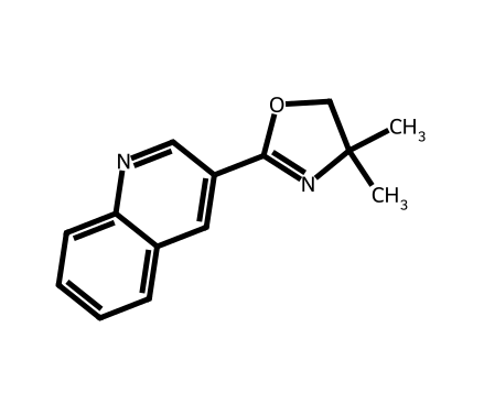 CC1(C)COC(c2cnc3ccccc3c2)=N1